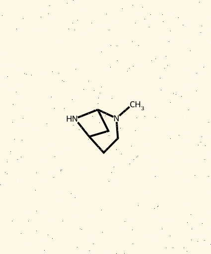 CN1CCC2CC1N2